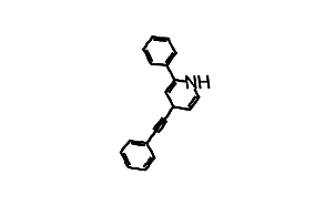 C(#CC1C=CNC(c2ccccc2)=C1)c1ccccc1